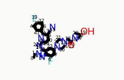 CCn1nc2c(F)cc(N3CCN(CC(=O)N4CC(O)C4)CC3)cc2c1N(C)c1ccc(C#N)c(-c2ccc(F)cc2)n1